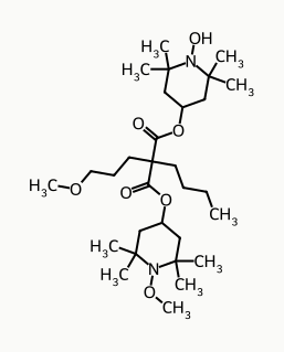 CCCCC(CCCOC)(C(=O)OC1CC(C)(C)N(O)C(C)(C)C1)C(=O)OC1CC(C)(C)N(OC)C(C)(C)C1